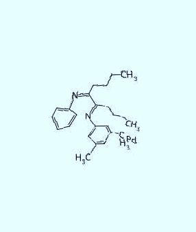 CCCCC(=Nc1ccccc1)C(CCCC)=Nc1cc(C)cc(C)c1.[Pd]